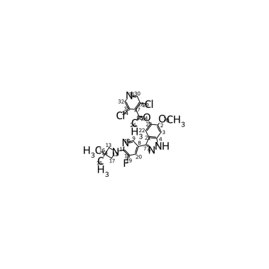 COc1cc2[nH]nc(-c3cnc(N4CC(C)(C)C4)c(F)c3)c2cc1O[C@H](C)c1c(Cl)cncc1Cl